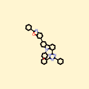 c1ccc(-c2nc(-c3ccccc3)nc(-c3cccc4c5cc(-c6ccc7nc(-c8ccccc8)oc7c6)ccc5n(-c5ccccc5)c34)n2)cc1